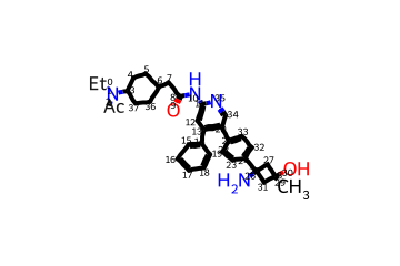 CCN(C(C)=O)C1CCC(CC(=O)Nc2cc(-c3ccccc3)c(-c3ccc(C4(N)CC(C)(O)C4)cc3)cn2)CC1